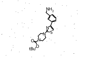 CC(C)(C)OC(=O)N1CCN(c2nc(-c3cccc(CN)c3)cs2)CC1